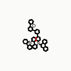 C1=Cc2c(c3ccccc3n2-c2ccccc2-c2ccccc2N(c2ccc(-c3cccc(-c4cccc5c4oc4ccccc45)c3)cc2)c2cc3ccccc3c3ccccc23)CC1